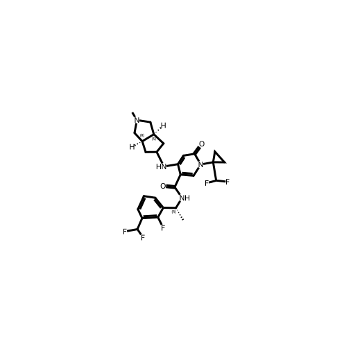 C[C@@H](NC(=O)c1cn(C2(C(F)F)CC2)c(=O)cc1NC1C[C@@H]2CN(C)C[C@@H]2C1)c1cccc(C(F)F)c1F